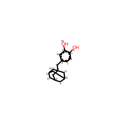 Oc1ccc(CC23CC4CC(CC(C4)C2)C3)cc1O